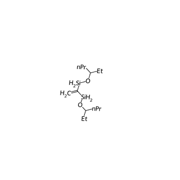 C=C([SiH2]OC(CC)CCC)[SiH2]OC(CC)CCC